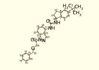 CC(C)(C)c1ccc2c(c1)CC[C@H]2NC(=O)Nc1cccc2c1cnn2C(=O)COCc1ccccc1